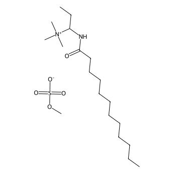 CCCCCCCCCCCC(=O)NC(CC)[N+](C)(C)C.COS(=O)(=O)[O-]